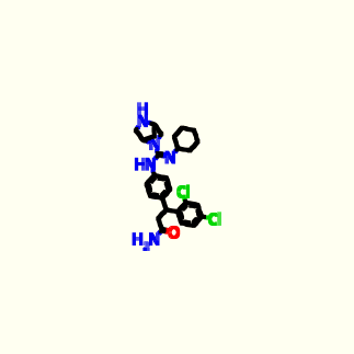 NC(=O)CC(c1ccc(N/C(=N/C2CCCCC2)N2CC3CC2CN3)cc1)c1ccc(Cl)cc1Cl